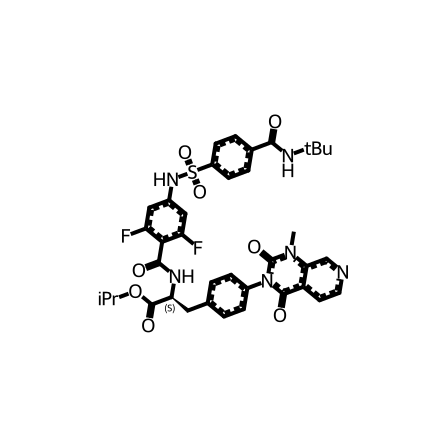 CC(C)OC(=O)[C@H](Cc1ccc(-n2c(=O)c3ccncc3n(C)c2=O)cc1)NC(=O)c1c(F)cc(NS(=O)(=O)c2ccc(C(=O)NC(C)(C)C)cc2)cc1F